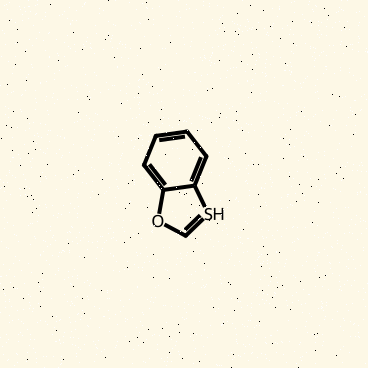 C1=[SH]c2ccccc2O1